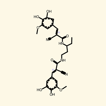 CCC(CCNC(=O)/C(C#N)=C/c1cc(O)c(O)c(OC)c1)NC(=O)/C(C#N)=C/c1cc(O)c(O)c(OC)c1